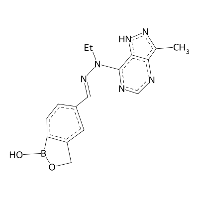 CCN(/N=C/c1ccc2c(c1)COB2O)c1ncnc2c(C)n[nH]c12